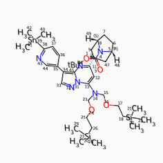 CC(C)(C)OC(=O)N1[C@@H]2CC[C@H]1C[C@@H](c1cc(N(COCC[Si](C)(C)C)COCC[Si](C)(C)C)n3ncc(-c4cc[c]([Sn]([CH3])([CH3])[CH3])nc4)c3n1)C2